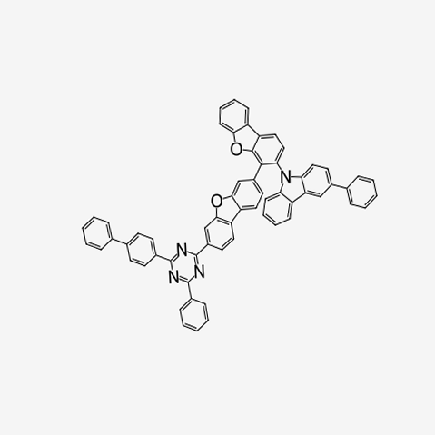 c1ccc(-c2ccc(-c3nc(-c4ccccc4)nc(-c4ccc5c(c4)oc4cc(-c6c(-n7c8ccccc8c8cc(-c9ccccc9)ccc87)ccc7c6oc6ccccc67)ccc45)n3)cc2)cc1